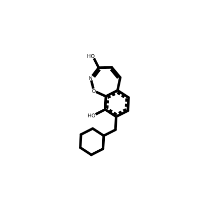 OC1=NOc2c(ccc(CC3CCCCC3)c2O)C=C1